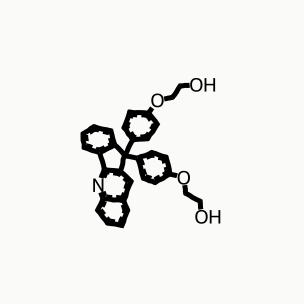 OCCOc1ccc(C2(c3ccc(OCCO)cc3)c3ccccc3-c3nc4ccccc4cc32)cc1